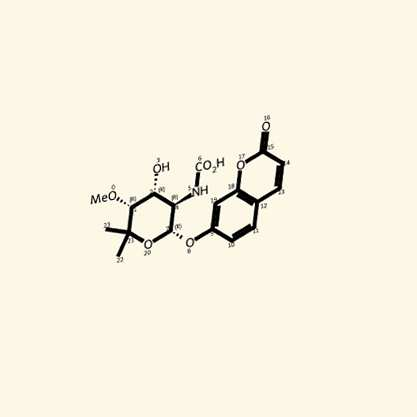 CO[C@@H]1[C@H](O)[C@@H](NC(=O)O)[C@H](Oc2ccc3ccc(=O)oc3c2)OC1(C)C